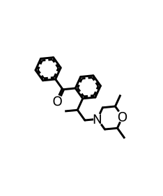 CC1CN(CC(C)c2ccccc2C(=O)c2ccccc2)CC(C)O1